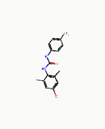 Cc1cc([O])cc(C)c1NC(=O)Nc1ccc(C(F)(F)F)cc1